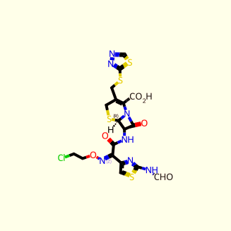 O=CNc1nc(/C(=N/OCCCl)C(=O)NC2C(=O)N3C(C(=O)O)=C(CSc4nncs4)CS[C@H]23)cs1